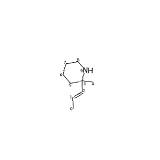 CC=CC1(C)CCCCN1